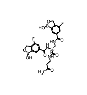 CC(=O)CCNC(=O)[Si@H](CNC(=O)c1cc(F)c2c(c1)B(O)OC2)NC(=O)c1cc(F)c2c(c1)B(O)OC2